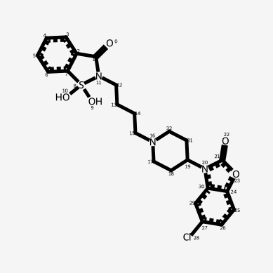 O=C1c2ccccc2S(O)(O)N1CCCCN1CCC(n2c(=O)oc3ccc(Cl)cc32)CC1